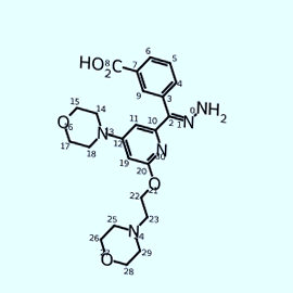 N/N=C(\c1cccc(C(=O)O)c1)c1cc(N2CCOCC2)cc(OCCN2CCOCC2)n1